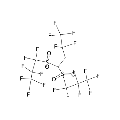 O=S(=O)(C(CC(F)(F)C(F)(F)F)S(=O)(=O)C(F)(F)C(F)(F)C(F)(F)F)C(F)(F)C(F)(F)C(F)(F)F